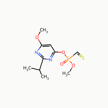 COc1cc(OP(=O)(C=S)OC)nc(C(C)C)n1